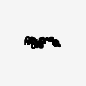 Cc1ccc(OCCc2ccc3c(N4CCC(=O)NC4=O)noc3c2)cc1